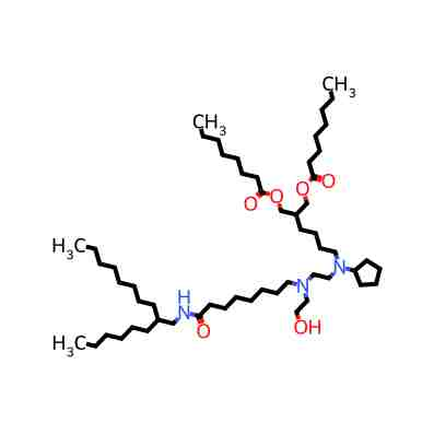 CCCCCCCCC(CCCCCC)CNC(=O)CCCCCCCN(CCO)CCN(CCCCC(COC(=O)CCCCCCC)COC(=O)CCCCCCC)C1CCCC1